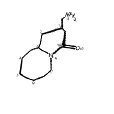 NC1CC2CCC[CH]N2C1=O